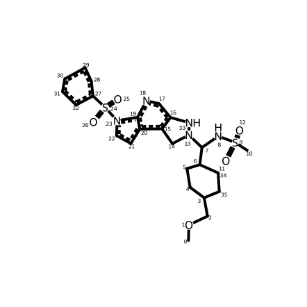 COCC1CCC(C(NS(C)(=O)=O)N2Cc3c(cnc4c3ccn4S(=O)(=O)c3ccccc3)N2)CC1